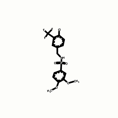 COc1ccc(S(=O)(=O)NCc2ccc(Cl)c(C(F)(F)F)c2)cc1OC